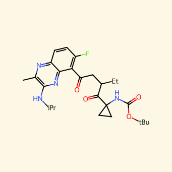 CCC(CC(=O)c1c(F)ccc2nc(C)c(NC(C)C)nc12)C(=O)C1(NC(=O)OC(C)(C)C)CC1